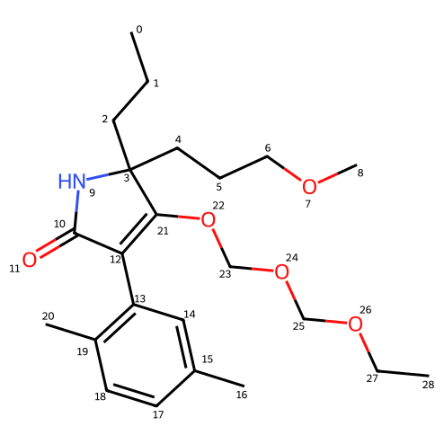 CCCC1(CCCOC)NC(=O)C(c2cc(C)ccc2C)=C1OCOCOCC